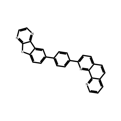 c1cnc2c(c1)ccc1ccc(-c3ccc(-c4ccc5oc6nccnc6c5c4)cc3)nc12